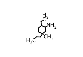 CCC[C@@]1(C)CCC(CC)C(N)C1